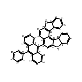 C1=CC2Oc3cc(-c4c5ccccc5c(-c5ccccc5)c5ccccc45)c4ccc5oc6ccccc6c5c4c3C2C=C1